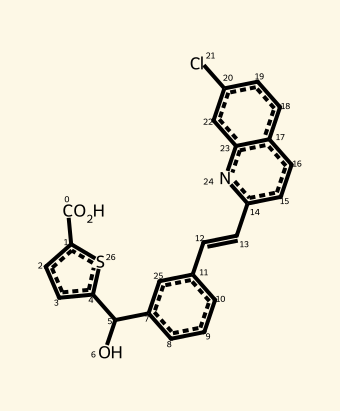 O=C(O)c1ccc(C(O)c2cccc(C=Cc3ccc4ccc(Cl)cc4n3)c2)s1